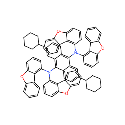 c1ccc2c(c1)oc1cccc(N(c3c4ccc(C5CCCCC5)cc4c(N(c4cccc5oc6ccccc6c45)c4cccc5oc6ccccc6c45)c4ccc(C5CCCCC5)cc34)c3cccc4oc5ccccc5c34)c12